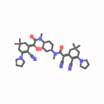 CN(C(=O)/C(O)=C1\CC(C)(C)CC(N2CCCC2)=C1C#N)C1CCC(N(C)C(=O)/C(C#N)=C2\CC(C)(C)CC(N3CCCC3)=C2C#N)CC1